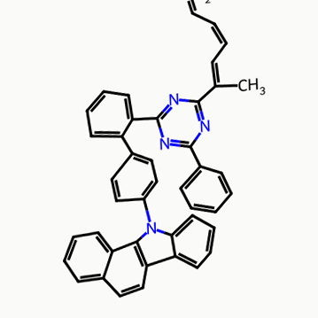 C=C/C=C\C=C(/C)c1nc(-c2ccccc2)nc(-c2ccccc2-c2ccc(-n3c4ccccc4c4ccc5ccccc5c43)cc2)n1